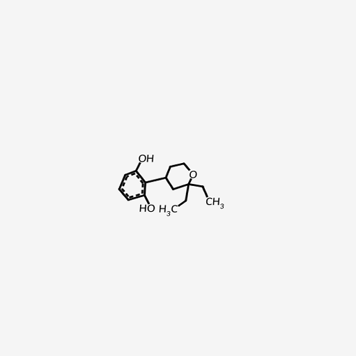 CCC1(CC)CC(c2c(O)cccc2O)CCO1